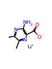 Cc1nc(N)c(C(=O)[O-])nc1C.[Li+]